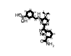 CN(C)c1cnc(-c2nnn3c(C(N)=O)cccc23)nc1NCc1cccc(B(O)O)c1